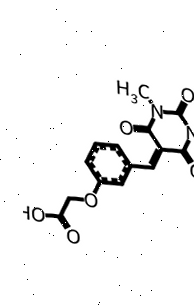 CN1C(=O)NC(=O)C(=Cc2cccc(OCC(=O)O)c2)C1=O